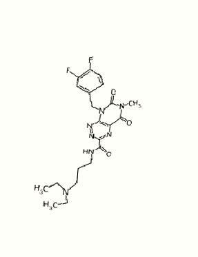 CCN(CC)CCCNC(=O)c1nnc2c(n1)c(=O)n(C)c(=O)n2Cc1ccc(F)c(F)c1